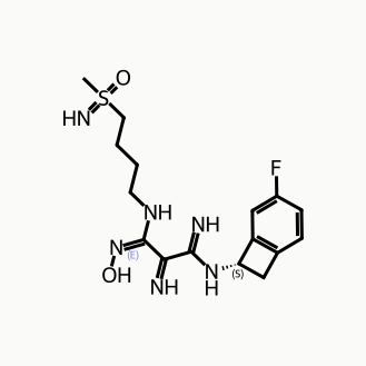 CS(=N)(=O)CCCCN/C(=N/O)C(=N)C(=N)N[C@H]1Cc2ccc(F)cc21